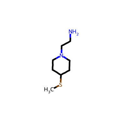 CSC1CCN(CCN)CC1